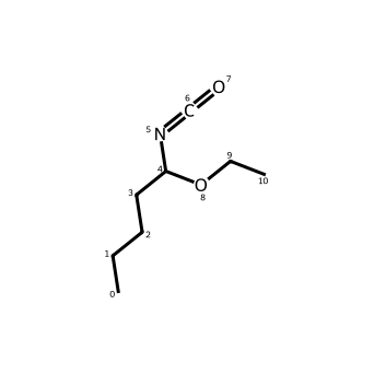 CCCCC(N=C=O)OCC